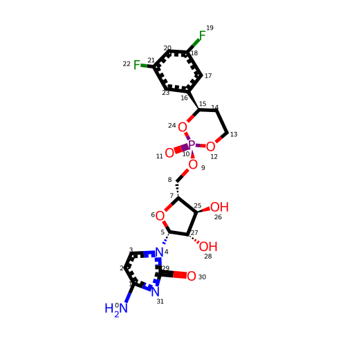 Nc1ccn([C@@H]2O[C@H](CO[P@]3(=O)OCC[C@H](c4cc(F)cc(F)c4)O3)[C@@H](O)[C@@H]2O)c(=O)n1